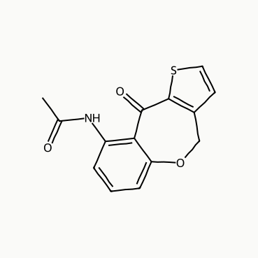 CC(=O)Nc1cccc2c1C(=O)c1sccc1CO2